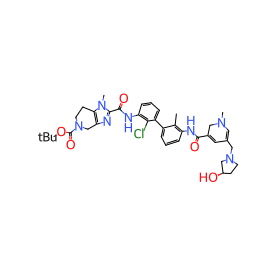 Cc1c(NC(=O)C2=CC(CN3CC[C@@H](O)C3)=CN(C)C2)cccc1-c1cccc(NC(=O)c2nc3c(n2C)CCN(C(=O)OC(C)(C)C)C3)c1Cl